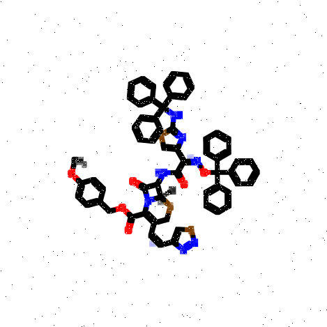 COc1ccc(COC(=O)C2=C(/C=C\c3csnn3)CS[C@@H]3C(NC(=O)/C(=N\OC(c4ccccc4)(c4ccccc4)c4ccccc4)c4csc(NC(c5ccccc5)(c5ccccc5)c5ccccc5)n4)C(=O)N23)cc1